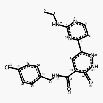 CCNc1nccc(-c2cc(C(=O)NCc3ccc(Cl)cc3)c(=O)[nH]n2)n1